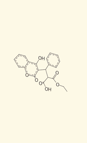 CCOC(=O)C(C(=O)O)C(c1ccccc1)c1c(O)c2ccccc2oc1=O